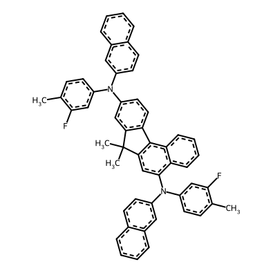 Cc1ccc(N(c2ccc3c(c2)C(C)(C)c2cc(N(c4ccc(C)c(F)c4)c4ccc5ccccc5c4)c4ccccc4c2-3)c2ccc3ccccc3c2)cc1F